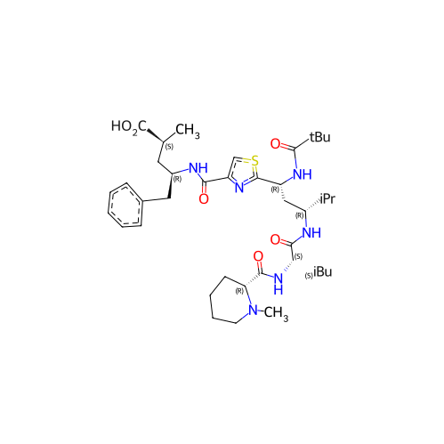 CC[C@H](C)[C@H](NC(=O)[C@H]1CCCCN1C)C(=O)N[C@H](C[C@@H](NC(=O)C(C)(C)C)c1nc(C(=O)N[C@@H](Cc2ccccc2)C[C@H](C)C(=O)O)cs1)C(C)C